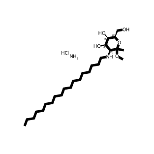 CCCCCCCCCCCCCCCCCCN[C@H]1[C@@H](O)[C@H](O)[C@@H](CO)OC1(C)OC.Cl.N